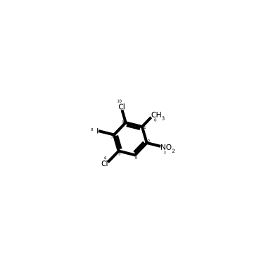 Cc1c([N+](=O)[O-])cc(Cl)c(I)c1Cl